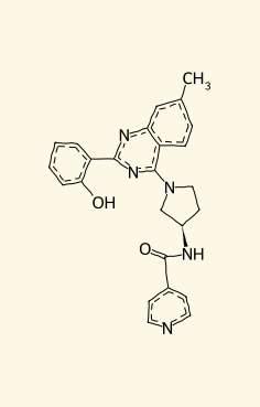 Cc1ccc2c(N3CC[C@@H](NC(=O)c4ccncc4)C3)nc(-c3ccccc3O)nc2c1